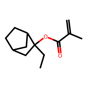 C=C(C)C(=O)OC1(CC)CC2CCC1C2